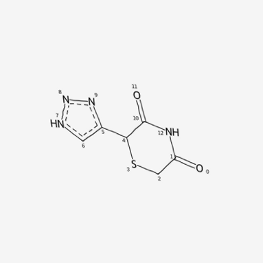 O=C1CSC(c2c[nH]nn2)C(=O)N1